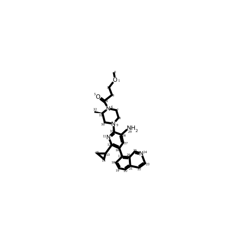 COCCC(=O)N1CCN(c2nc(C3CC3)c(-c3cccc4ccncc34)cc2N)C[C@H]1C